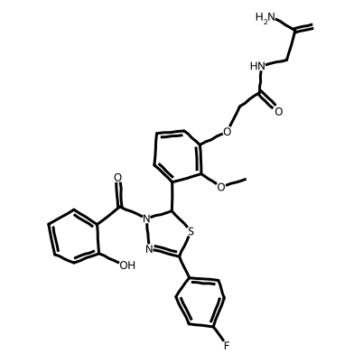 C=C(N)CNC(=O)COc1cccc(C2SC(c3ccc(F)cc3)=NN2C(=O)c2ccccc2O)c1OC